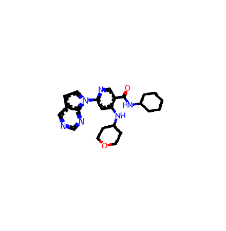 O=C(NC1CCCCC1)c1cnc(-n2ccc3cncnc32)cc1NC1CCOCC1